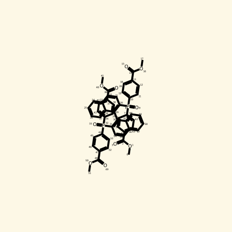 COC(=O)c1ccc(P(=O)(c2ccc(C(=O)OC)cc2)c2ccc3ccccc3c2-c2c(P(=O)(c3ccc(C(=O)OC)cc3)c3ccc(C(=O)OC)cc3)ccc3ccccc23)cc1